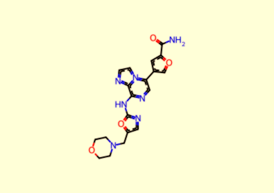 NC(=O)c1cc(-c2cnc(Nc3ncc(CN4CCOCC4)o3)c3nccn23)co1